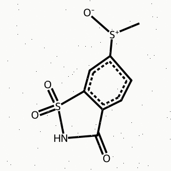 C[S+]([O-])c1ccc2c(c1)S(=O)(=O)NC2=O